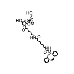 O=C(CCCCCNC(=O)OC1Cc2ccccc2C#Cc2ccccc21)NCCCCCC(=O)N1C[C@H](O)C[C@H]1OP(=O)(O)OCCO